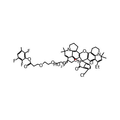 CCC1=CC(C)(C)N2CCCc3c4c(cc1c32)C1(c2cc3c5c(c2O4)CCCN5C(C)(C)C=C3CS(=O)(=O)O)c2c(Cl)ccc(Cl)c2C(=O)N1OCCOCCOCCOCCC(=O)Oc1c(F)c(C)cc(F)c1F